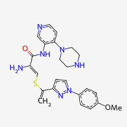 C=C(S/C=C(\N)C(=O)Nc1cnccc1N1CCNCC1)c1ccn(-c2ccc(OC)cc2)n1